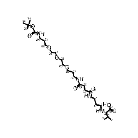 CC(C)[C@H](NCCCNC(=O)CCC(=O)NCCCOCCOCCOCCCNC(=O)OC(C)(C)C)C(=O)O